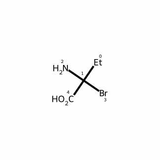 CCC(N)(Br)C(=O)O